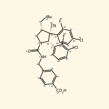 CC(C)(C)C[C@H]1CN(C(=O)NCc2ccc(C(=O)O)cc2)[C@@H](c2cccc(Cl)c2F)[C@]1(C#N)c1ccc(Cl)cc1F